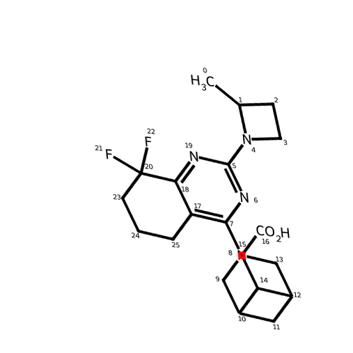 CC1CCN1c1nc(N2CC3CC(C2)C3CC(=O)O)c2c(n1)C(F)(F)CCC2